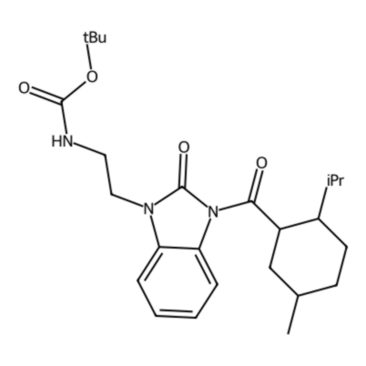 CC1CCC(C(C)C)C(C(=O)n2c(=O)n(CCNC(=O)OC(C)(C)C)c3ccccc32)C1